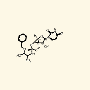 CC(NP1(=O)OC[C@]23C(O1)[C@H]2O[C@@H](n1ccc(=O)[nH]c1=O)[C@@H]3O)C(O)OCc1ccccc1